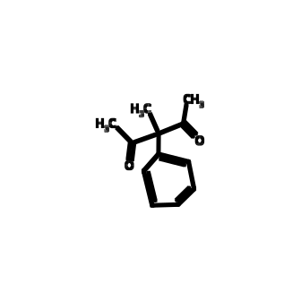 CC(=O)C(C)(C(C)=O)c1ccccc1